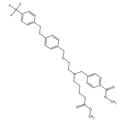 COC(=O)CCCCN(CCOCc1ccc(CCc2ccc(C(F)(F)F)cc2)cc1)Cc1ccc(C(=O)OC)cc1